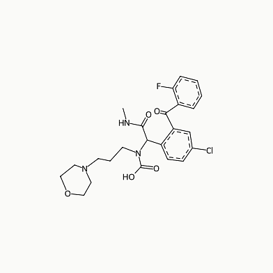 CNC(=O)C(c1ccc(Cl)cc1C(=O)c1ccccc1F)N(CCCN1CCOCC1)C(=O)O